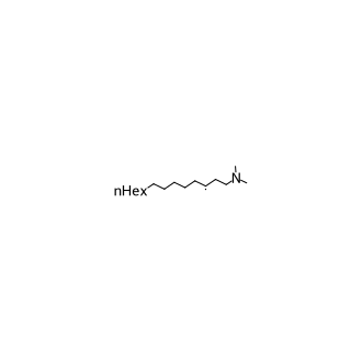 CCCCCCCCCCC[CH]CCN(C)C